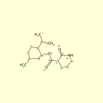 CC1CCC(C(C)C)C(OC(=O)C2CCCNC2=O)C1